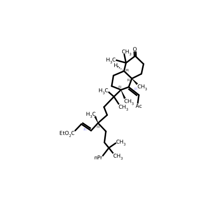 CCCC(C)(C)CC[C@](C)(/C=C/C(=O)OCC)CCC(C)(C)[C@]1(C)CC[C@H]2C(C)(C)C(=O)CC[C@]2(C)/C1=C/C(C)=O